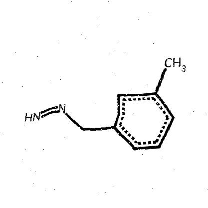 Cc1cccc(CN=N)c1